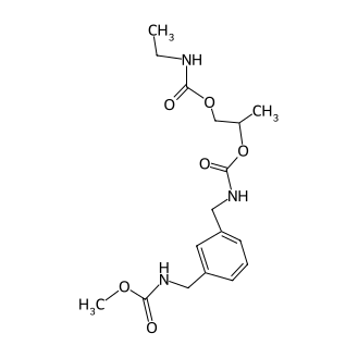 CCNC(=O)OCC(C)OC(=O)NCc1cccc(CNC(=O)OC)c1